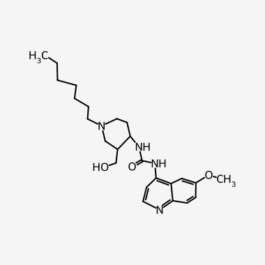 CCCCCCCN1CCC(NC(=O)Nc2ccnc3ccc(OC)cc23)C(CO)C1